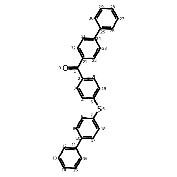 O=C(c1ccc(Sc2ccc(-c3ccccc3)cc2)cc1)c1ccc(-c2ccccc2)cc1